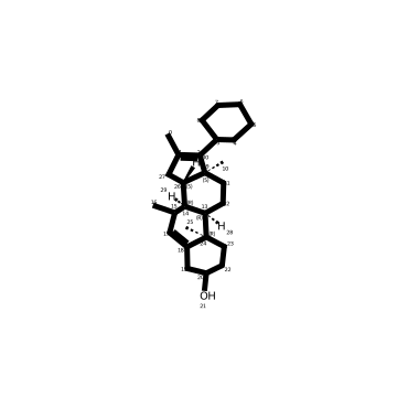 CC1=C(C2CCCCC2)[C@@]2(C)CC[C@@H]3[C@@H](C(C)C=C4CC(O)CC[C@@]43C)[C@@H]2C1